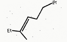 CCC(C)=CCCC(C)C